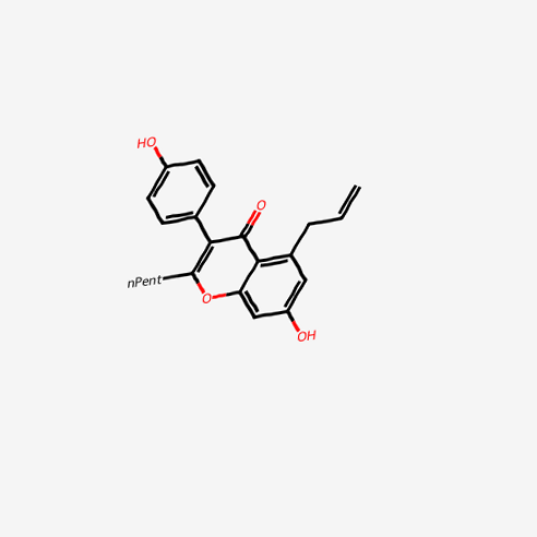 C=CCc1cc(O)cc2oc(CCCCC)c(-c3ccc(O)cc3)c(=O)c12